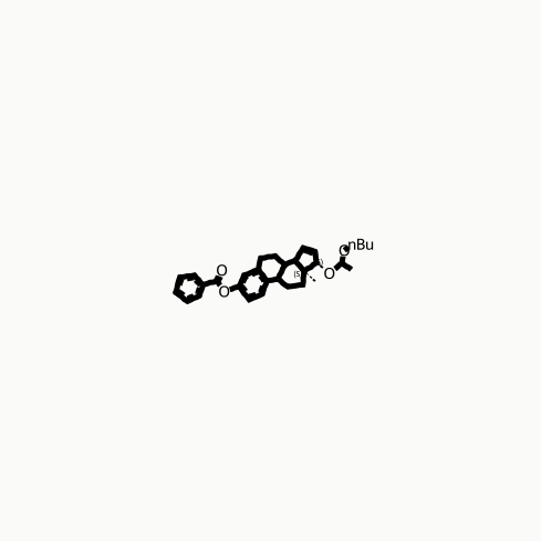 CCCCOC(C)O[C@H]1C=CC2C3CCc4cc(OC(=O)c5ccccc5)ccc4C3CC[C@@]21C